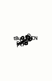 CC(C)(C)c1cccc(N(C(=O)[C@@H]2CCC(=O)N2c2nccc(C#N)n2)C(C(=O)NC2CC(F)(F)C2)c2ccccc2Cl)c1